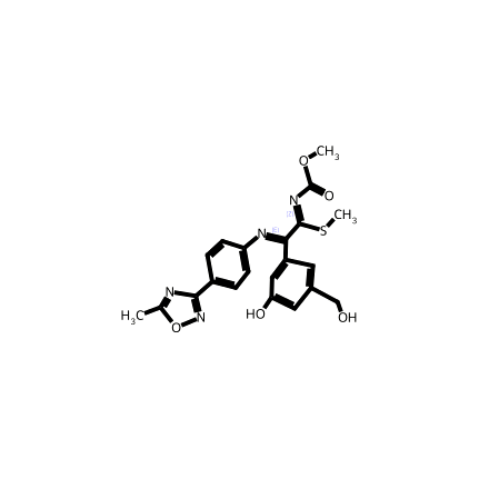 COC(=O)/N=C(SC)/C(=N/c1ccc(-c2noc(C)n2)cc1)c1cc(O)cc(CO)c1